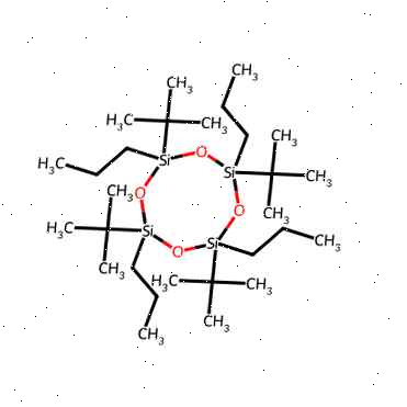 CCC[Si]1(C(C)(C)C)O[Si](CCC)(C(C)(C)C)O[Si](CCC)(C(C)(C)C)O[Si](CCC)(C(C)(C)C)O1